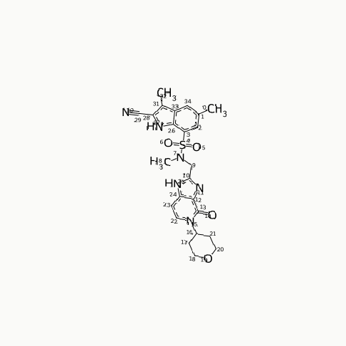 Cc1cc(S(=O)(=O)N(C)Cc2nc3c(=O)n(C4CCOCC4)ccc3[nH]2)c2[nH]c(C#N)c(C)c2c1